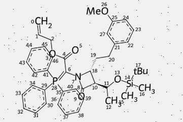 C=CCOC(=O)C(N1C(=O)[C@H](C(C)O[Si](C)(C)C(C)(C)C)[C@H]1CCc1cccc(OC)c1)=P(c1ccccc1)(c1ccccc1)c1ccccc1